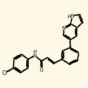 O=C(C=Cc1cccc(-c2cnc3[nH]ccc3c2)c1)Nc1ccc(Cl)cc1